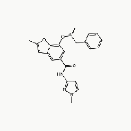 Cc1cc2cc(C(=O)Nc3ccn(C)n3)cc(O[C@@H](C)Cc3ccccc3)c2o1